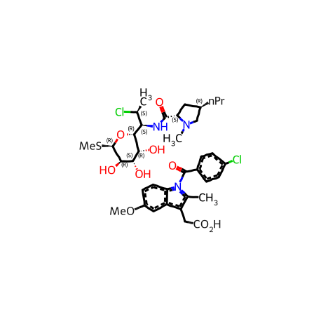 CCC[C@@H]1C[C@@H](C(=O)N[C@@H]([C@H]2O[C@H](SC)[C@H](O)[C@@H](O)[C@H]2O)[C@H](C)Cl)N(C)C1.COc1ccc2c(c1)c(CC(=O)O)c(C)n2C(=O)c1ccc(Cl)cc1